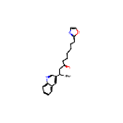 COC(CC(=O)CCCCCCc1ncco1)c1cnc2ccccc2c1